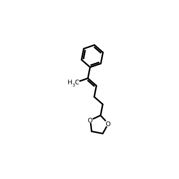 CC(=CCCC1OCCO1)c1ccccc1